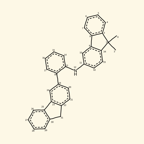 CC1(C)c2ccccc2-c2cc(Nc3ccccc3-c3ccc4c(c3)-c3ccccc3C4)ccc21